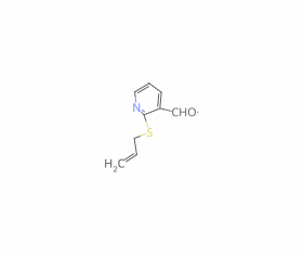 C=CCSc1ncccc1[C]=O